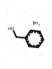 B.OCc1ccccc1